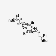 CCCCC(CC)CCc1nc2c(Br)c3sc(CCC(CC)CCCC)nc3c(Br)c2s1